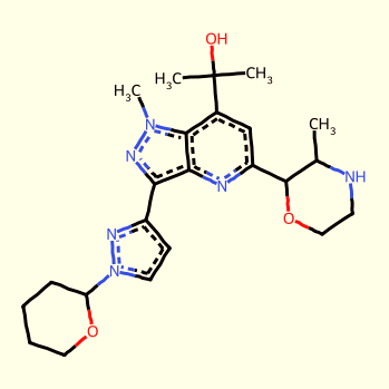 CC1NCCOC1c1cc(C(C)(C)O)c2c(n1)c(-c1ccn(C3CCCCO3)n1)nn2C